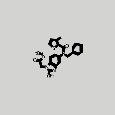 CCCc1nc2cc(N(Cc3ccccc3)C(=O)c3sccc3C)ccc2n1CC(=O)OC(C)(C)C